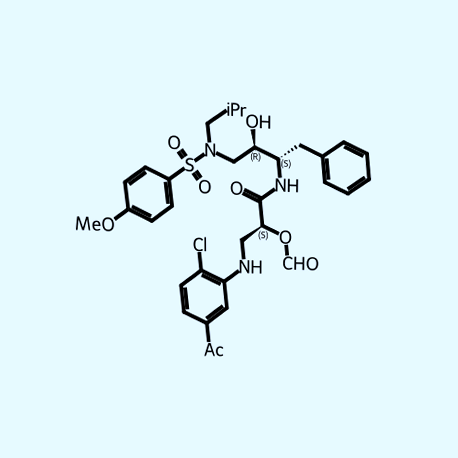 COc1ccc(S(=O)(=O)N(CC(C)C)C[C@@H](O)[C@H](Cc2ccccc2)NC(=O)[C@H](CNc2cc(C(C)=O)ccc2Cl)OC=O)cc1